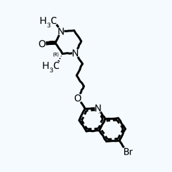 C[C@@H]1C(=O)N(C)CCN1CCCOc1ccc2cc(Br)ccc2n1